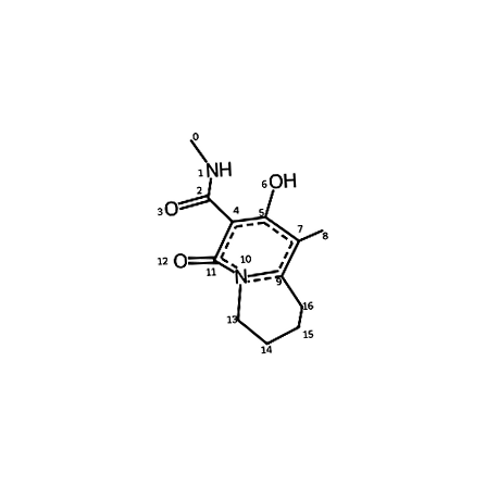 CNC(=O)c1c(O)c(C)c2n(c1=O)CCCC2